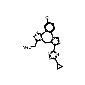 COCc1nnc2n1Cc1c(-c3nc(C4CC4)no3)ncn1-c1ccc(Cl)cc1-2